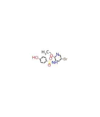 CCOc1ncc(Br)cc1NS(=O)(=O)c1ccc(O)cc1